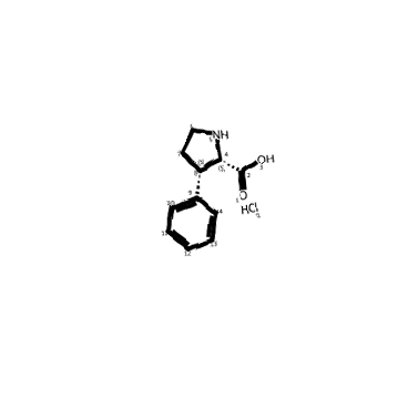 Cl.O=C(O)[C@H]1NCC[C@H]1c1ccccc1